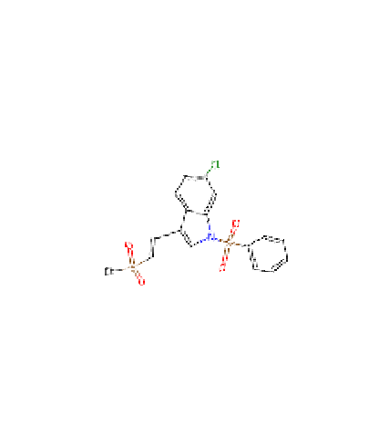 CCS(=O)(=O)/C=C/c1[c]n(S(=O)(=O)c2ccccc2)c2cc(Cl)ccc12